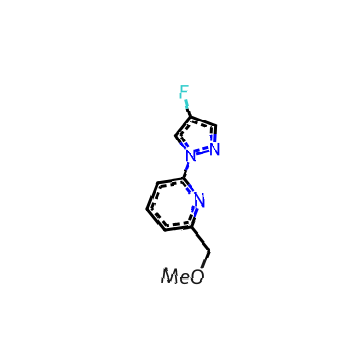 COCc1cccc(-n2cc(F)cn2)n1